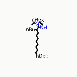 CCCCCCCCCCCCCCCCCCC(CCCC)c1[nH]cc[n+]1C(C)CCCCCC